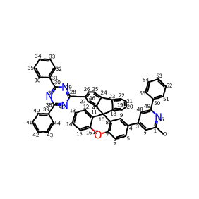 Cc1cc(-c2ccc3c(c2)C2(c4ccccc4O3)c3ccccc3-c3ccc(-c4nc(-c5ccccc5)nc(-c5ccccc5)n4)cc32)cc(-c2ccccc2)n1